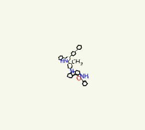 CC1C=C(n2c3ccccc3c3c4c(ccc32)NC(c2ccccc2)O4)C=CC1C1CC(c2ccc(-c3ccccc3)cc2)C=C(c2ccccc2)N1